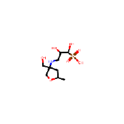 CC1CC(CO)(NCC(O)C(O)S(=O)(=O)O)CO1